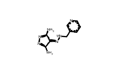 NC1=NN=C(N)C1=NNCc1cccnc1